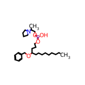 CCCCCCCCCC(CCCOP(O)OCC(C)N1CCCC1)OCc1ccccc1